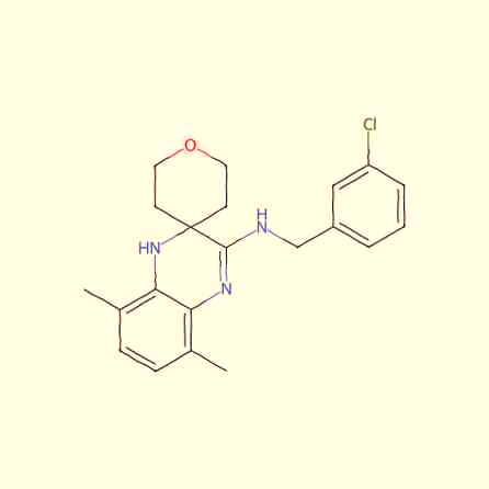 Cc1ccc(C)c2c1N=C(NCc1cccc(Cl)c1)C1(CCOCC1)N2